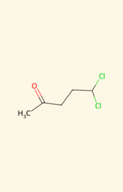 CC(=O)CCC(Cl)Cl